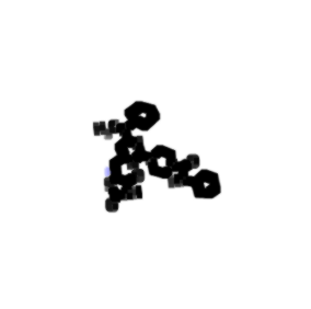 CN(c1ccccc1)c1cc(/C=C2/SC(=O)NC2=O)nc(N2CCN(C(=O)Nc3ccccc3)CC2)n1